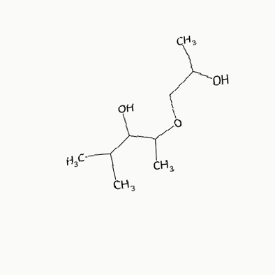 CC(O)COC(C)C(O)C(C)C